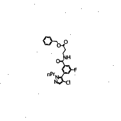 CCCn1ncc(Cl)c1-c1cc(F)cc(C(=O)NCCC(=O)OCc2ccccc2)c1